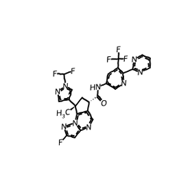 C[C@@]1(c2cnn(C(F)F)c2)C[C@H](C(=O)Nc2cnc(-c3ncccn3)c(C(F)(F)F)c2)c2cnc3cc(F)nn3c21